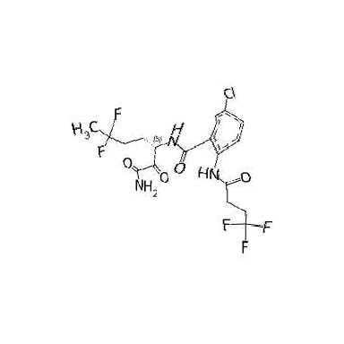 CC(F)(F)CC[C@H](NC(=O)c1cc(Cl)ccc1NC(=O)CCC(F)(F)F)C(=O)C(N)=O